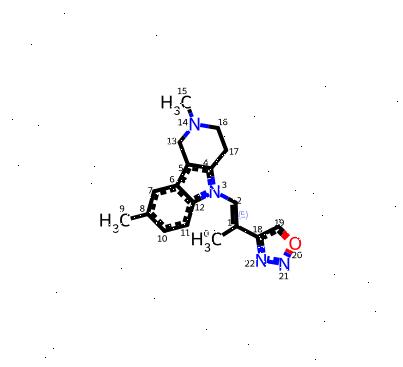 C/C(=C\n1c2c(c3cc(C)ccc31)CN(C)CC2)c1conn1